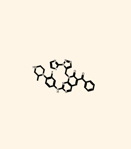 CC1CNCCN1c1ccc(Nc2ncc3cc(C(=O)c4ccccc4)c(=O)n(Cc4cnnn4-c4nccs4)c3n2)cc1F